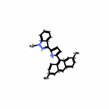 Cn1nc(-c2ccc(-c3c4ccc(C(C)(C)C)cc4cc4ccc(C(C)(C)C)cc34)[nH]2)c2ccccc21